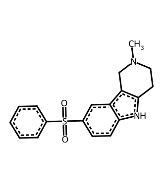 CN1CCc2[nH]c3ccc(S(=O)(=O)c4ccccc4)cc3c2C1